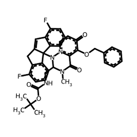 CN1C(=O)c2c(OCc3ccccc3)c(=O)ccn2N(C23C(=Cc4c(F)cccc42)Cc2c(F)cccc23)C1CNC(=O)OC(C)(C)C